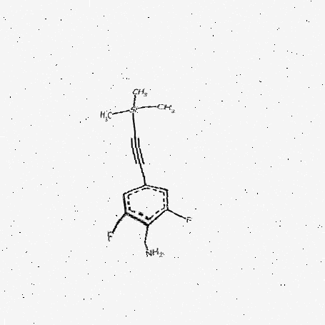 C[Si](C)(C)C#Cc1cc(F)c(N)c(F)c1